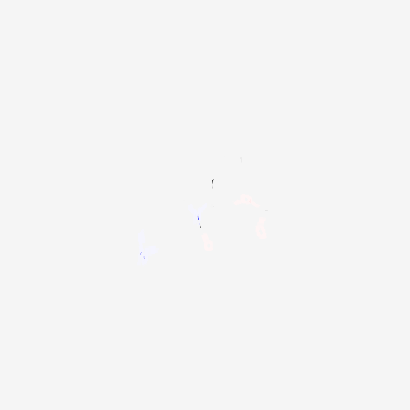 CCC[C@@H](COC(C)=O)N1Cc2cc(Cl)ncc2C1=O